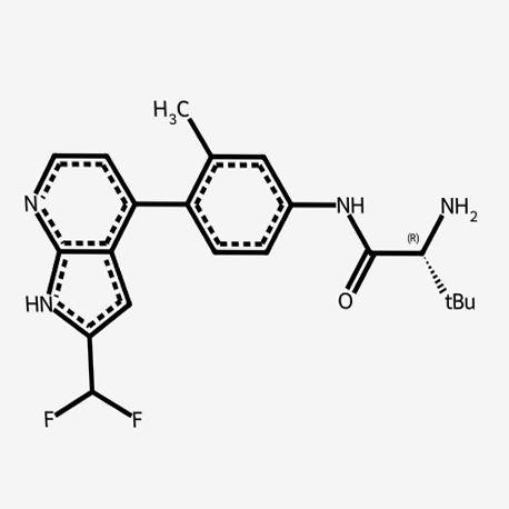 Cc1cc(NC(=O)[C@H](N)C(C)(C)C)ccc1-c1ccnc2[nH]c(C(F)F)cc12